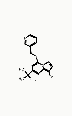 CC(C)(C)c1cc(NCc2cccnc2)n2ncc(Br)c2c1